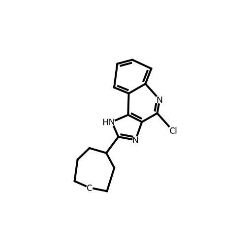 Clc1nc2ccccc2c2[nH]c(C3CCCCCC3)nc12